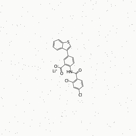 O=C(Nc1ccc(-c2csc3ccccc23)cc1C(=O)[O-])c1ccc(Cl)cc1Cl.[Li+]